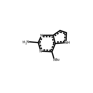 CCCCc1nc(N)nc2cc[nH]c12